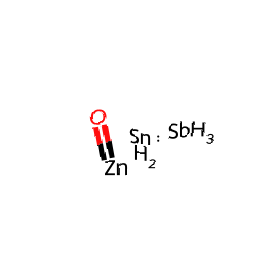 [O]=[Zn].[SbH3].[SnH2]